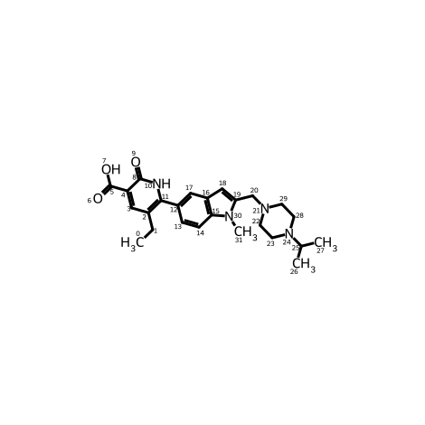 CCc1cc(C(=O)O)c(=O)[nH]c1-c1ccc2c(c1)cc(CN1CCN(C(C)C)CC1)n2C